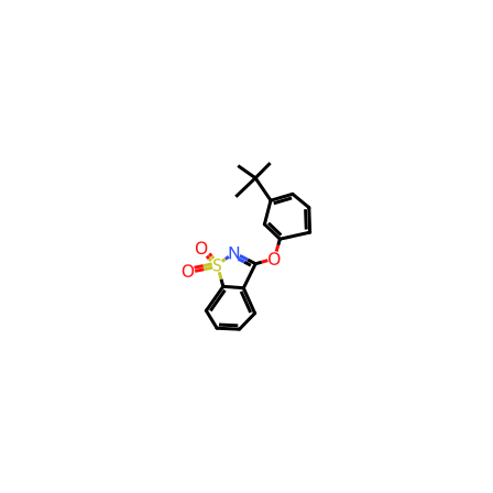 CC(C)(C)c1cccc(OC2=NS(=O)(=O)c3ccccc32)c1